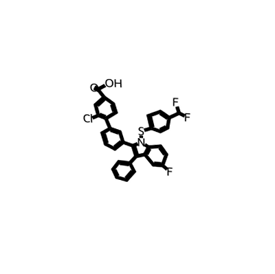 O=C(O)c1ccc(-c2cccc(-c3c(-c4ccccc4)c4cc(F)ccc4n3Sc3ccc(C(F)F)cc3)c2)c(Cl)c1